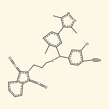 Cc1ccc(-c2c(C)noc2C)cc1N(CCCCn1c(=C=O)c2ccccc2c1=C=O)c1ccc(C#N)c(Cl)c1